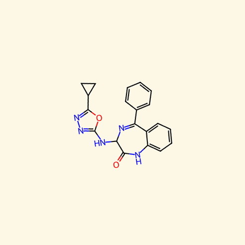 O=C1Nc2ccccc2C(c2ccccc2)=NC1Nc1nnc(C2CC2)o1